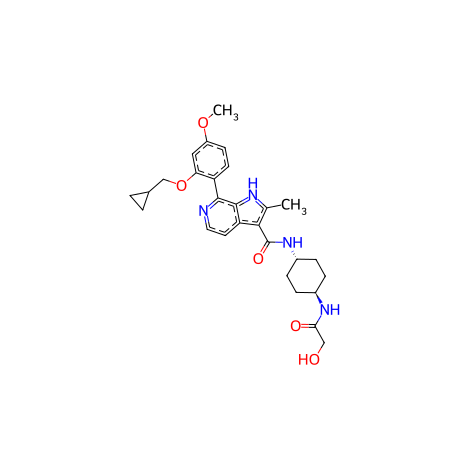 COc1ccc(-c2nccc3c(C(=O)N[C@H]4CC[C@H](NC(=O)CO)CC4)c(C)[nH]c23)c(OCC2CC2)c1